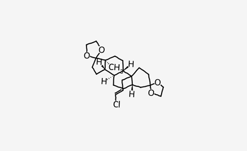 C[C@]12CC[C@H]3[C@@H](CC[C@H]4CC5(CCC43CC=CCl)OCCO5)[C@@H]1CCC21OCCO1